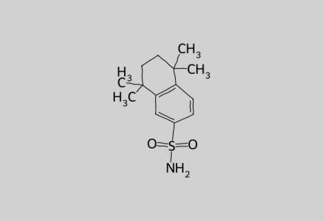 CC1(C)CCC(C)(C)c2cc(S(N)(=O)=O)ccc21